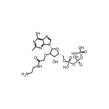 Cc1nc(S)c2ncn([C@@H]3O[C@H](COP(=O)(O)OP(=O)(O)OP(=O)(O)O)[C@H](O)C3OCC(=O)NCCN)c2n1